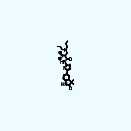 CCCN(CCC)CC(C(=O)Nc1nc(-c2ccc3c(c2)C(C)(C)C(=O)N3)cs1)=S(=O)=O